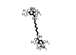 CC1(C)CC(C(=O)NCCCCCCCCNC(=O)C2CC(C)(C)N(O)C2(C)C)C(C)(C)N1O